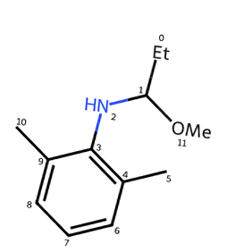 CCC(Nc1c(C)cccc1C)OC